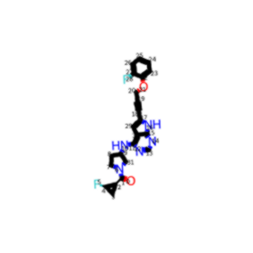 O=C([C@H]1C[C@H]1F)N1CCC(Nc2ncnc3[nH]c(C#CCOc4ccccc4F)cc23)C1